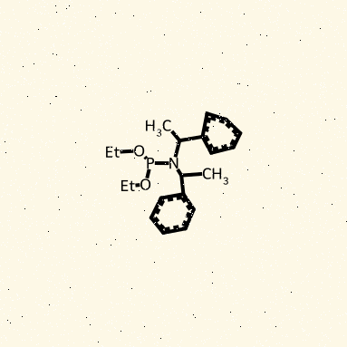 CCOP(OCC)N(C(C)c1ccccc1)C(C)c1ccccc1